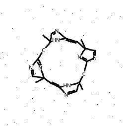 CC12C=NC(=N1)CC1(C)C=NC(=CC3(C)C=NC(=N3)CC3(C)C=NC(=C2)N3)N1